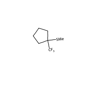 CSC1(C(F)(F)F)CCCC1